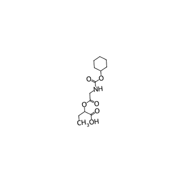 CCC(OC(=O)CNC(=O)OC1CCCCC1)C(=O)O